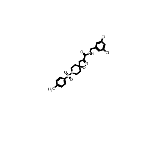 Cc1ccc(S(=O)(=O)N2CCC3(CC2)CC(C(=O)NCc2cc(Cl)cc(Cl)c2)=NO3)cc1